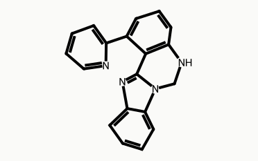 c1ccc(-c2cccc3c2-c2nc4ccccc4n2CN3)nc1